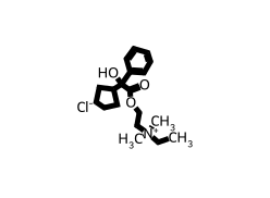 CC[N+](C)(C)CCOC(=O)C(O)(c1ccccc1)C1CCCC1.[Cl-]